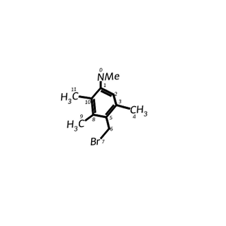 CNc1cc(C)c(CBr)c(C)c1C